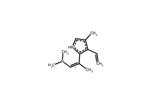 C=Cc1c(C)c[nH]c1/C(C)=C\N(C)C